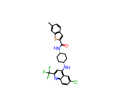 Cc1ccc2cc(C(=O)N[C@H]3CC[C@@H](Nc4cc(C(F)(F)F)nc5ccc(Cl)cc45)CC3)sc2c1